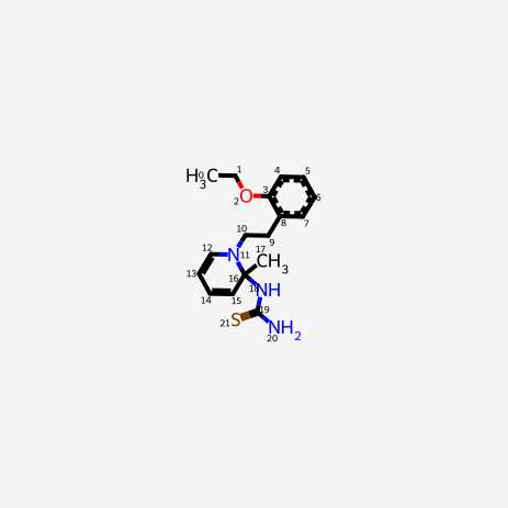 CCOc1ccccc1CCN1C=CC=CC1(C)NC(N)=S